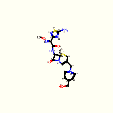 CCON=C(C(=O)NC1C(=O)N2C=C(C[n+]3ccc(CO)cc3)CS[C@@H]12)c1nsc(N)n1